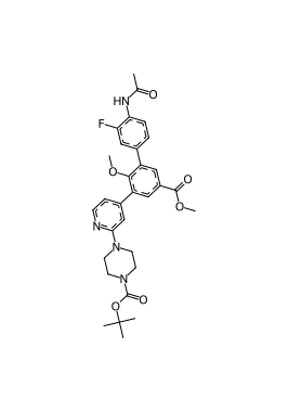 COC(=O)c1cc(-c2ccnc(N3CCN(C(=O)OC(C)(C)C)CC3)c2)c(OC)c(-c2ccc(NC(C)=O)c(F)c2)c1